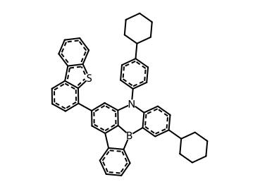 c1ccc2c(c1)B1c3cc(C4CCCCC4)ccc3N(c3ccc(C4CCCCC4)cc3)c3cc(-c4cccc5c4sc4ccccc45)cc-2c31